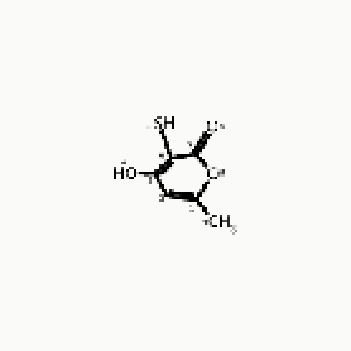 Cc1cc(O)c(S)c(=O)o1